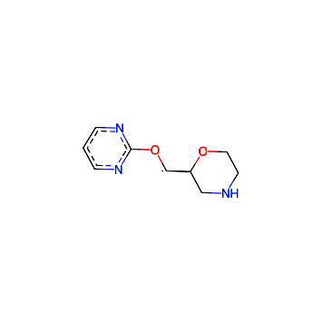 [CH](Oc1ncccn1)C1CNCCO1